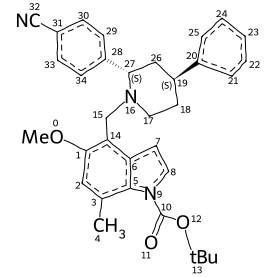 COc1cc(C)c2c(ccn2C(=O)OC(C)(C)C)c1CN1CC[C@H](c2ccccc2)C[C@H]1c1ccc(C#N)cc1